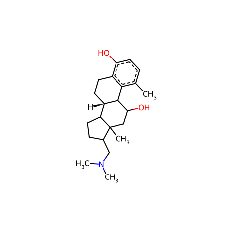 Cc1ccc(O)c2c1C1C(O)CC3(C)C(CN(C)C)CCC3[C@@H]1CC2